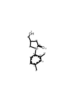 Cc1ccc(N2CC(CO)CC2=O)c(C)c1